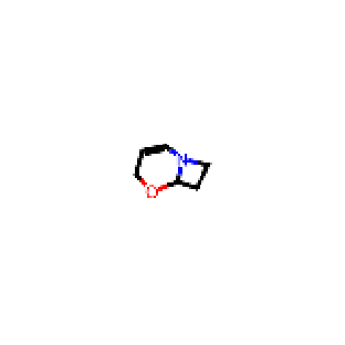 C1=CN2CCC2OC1